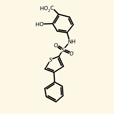 O=C(O)c1ccc(NS(=O)(=O)c2cc(-c3ccccc3)cs2)cc1O